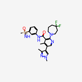 Cc1nn(C)cc1-c1cnc(N2CCCC(F)(F)CC2)c(C(=O)Nc2cccc([S@](C)(=N)=O)c2)c1C